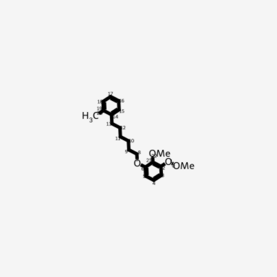 COOc1cccc(OCCCCCCc2ccccc2C)c1OC